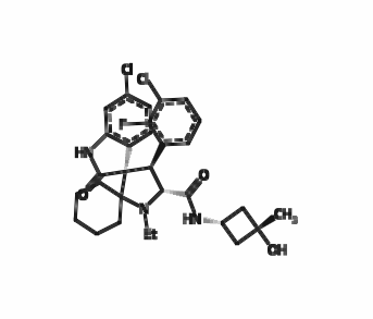 CCN1[C@@H](C(=O)N[C@H]2C[C@@](C)(O)C2)[C@H](c2cccc(Cl)c2F)[C@]2(C(=O)Nc3cc(Cl)ccc32)C12CCCCC2